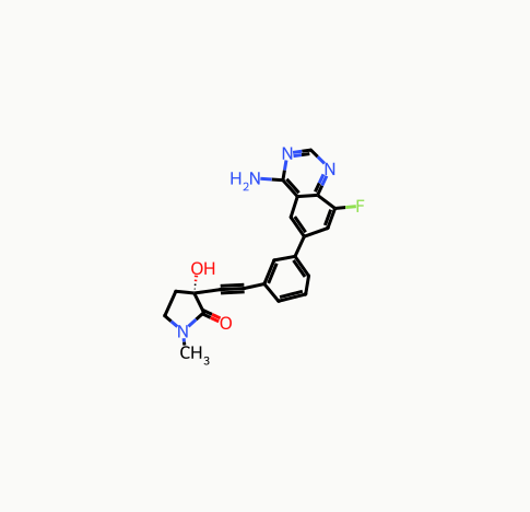 CN1CC[C@@](O)(C#Cc2cccc(-c3cc(F)c4ncnc(N)c4c3)c2)C1=O